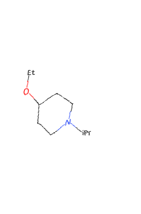 CCOC1CCN(C(C)C)CC1